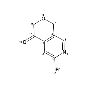 CC(C)c1cc2c(cn1)COCC2=O